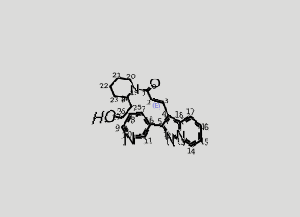 O=C(/C=C/c1c(-c2cccnc2)nn2ccccc12)N1CCCC[C@@H]1CCO